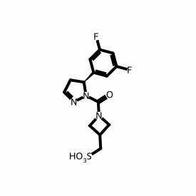 O=C(N1CC(CS(=O)(=O)O)C1)N1N=CC[C@H]1c1cc(F)cc(F)c1